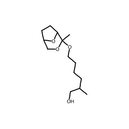 CC(CO)CCCCOC1(C)OCC2CCC1O2